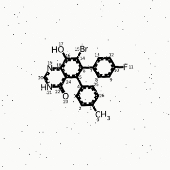 Cc1ccc(-c2c(-c3ccc(F)cc3)c(Br)c(O)c3nc[nH]c(=O)c23)cc1